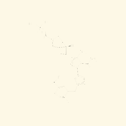 Cc1ccc(C(F)(F)F)cc1Cn1cc(-c2nn([C@@H]3C[C@]45CN(C(=O)OC(C)(C)C)CC4[C@H]35)c(N)c2C(N)=O)cn1